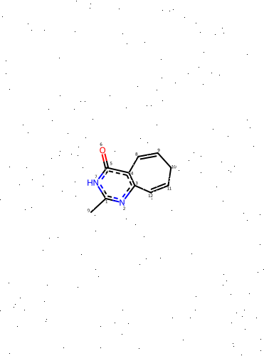 Cc1nc2c(c(=O)[nH]1)C=CCC=C2